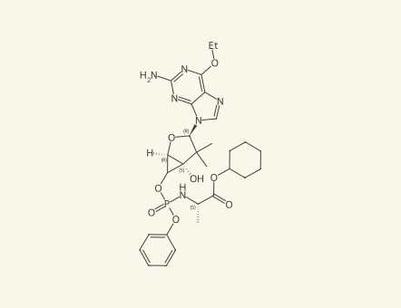 CCOc1nc(N)nc2c1ncn2[C@@H]1O[C@@H]2C(OP(=O)(N[C@@H](C)C(=O)OC3CCCCC3)Oc3ccccc3)[C@]2(O)C1(C)C